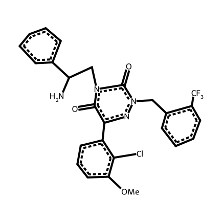 COc1cccc(-c2nn(Cc3ccccc3C(F)(F)F)c(=O)n(CC(N)c3ccccc3)c2=O)c1Cl